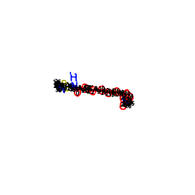 O=C(CCOCCOCCOCCOCCOCCC(=O)ON1C(=O)CCC1=O)NCCSSc1ccccn1